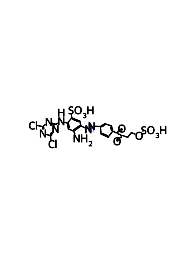 Nc1cc(Nc2nc(Cl)nc(Cl)n2)c(S(=O)(=O)O)cc1/N=N/c1ccc(S(=O)(=O)CCOS(=O)(=O)O)cc1